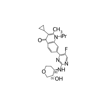 Cc1c(C2CC2)c(=O)c2ccc(-c3nc(N[C@@H]4CCOC[C@H]4O)ncc3F)cc2n1C(C)C